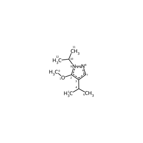 COc1c(C(C)C)cnn1C(C)C